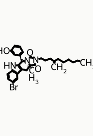 C=C(CCCCCC)CCCN1C(=O)N2[C@H](c3cccc(O)c3)c3[nH]c4ccc(Br)cc4c3C[C@@]2(C)C1=O